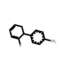 Cc1ccc(C2CC=CC=C2F)cc1